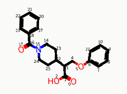 O=C(O)C(COc1ccccc1)C1CCN(C(=O)c2ccccc2)CC1